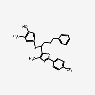 Cc1cc(SC(CCCc2ccccc2)c2sc(-c3ccc(C(F)(F)F)cc3)nc2C)ccc1O